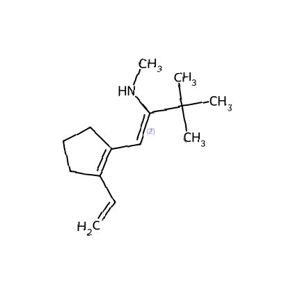 C=CC1=C(/C=C(\NC)C(C)(C)C)CCC1